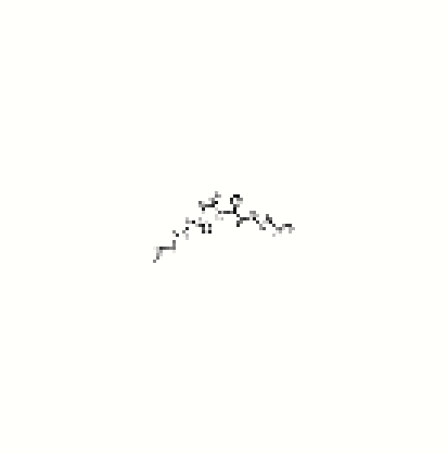 C=CCCCCC(=O)CC(C)CC(=O)CCCCC=C